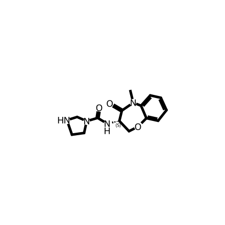 CN1C(=O)[C@@H](NC(=O)N2CCNC2)COc2ccccc21